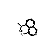 CC(O)c1cccc2cncc(N)c12